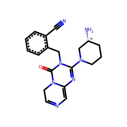 N#Cc1ccccc1CN1C(=O)N2CC=NC=C2N=C1N1CCC[C@@H](N)C1